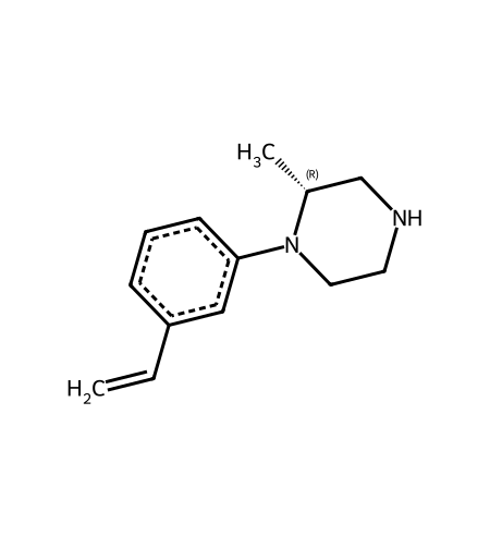 C=Cc1cccc(N2CCNC[C@H]2C)c1